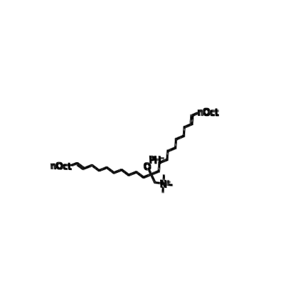 CCCCCCCCC=CCCCCCCCCC(CCCCCCCCC=CCCCCCCCC)(C[N+](C)(C)C)O[PH-]